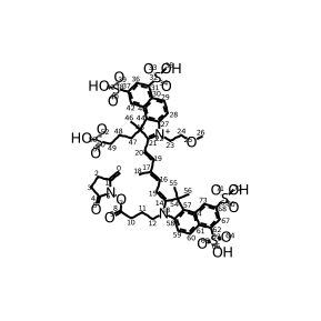 C=C1CCC(=O)N1OC(=O)CCCN1/C(=C/C=C(C)/C=C/C2=[N+](CCOC)c3ccc4c(S(=O)(=O)O)cc(S(=O)(=O)O)cc4c3C2(C)CCCS(=O)(=O)O)C(C)(C)c2c1ccc1c(S(=O)(=O)O)cc(S(=O)(=O)O)cc21